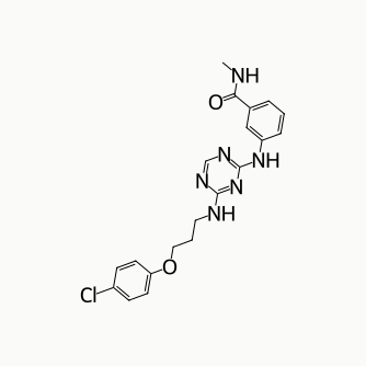 CNC(=O)c1cccc(Nc2ncnc(NCCCOc3ccc(Cl)cc3)n2)c1